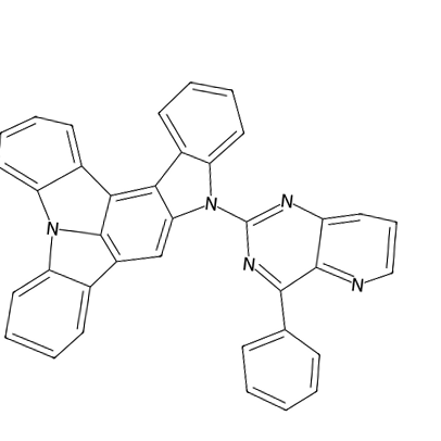 c1ccc(-c2nc(-n3c4ccccc4c4c5c6ccccc6n6c7ccccc7c(cc43)c56)nc3cccnc23)cc1